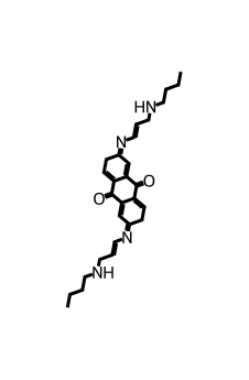 CCCCNCC=CN=C1C=C2C(=O)C3=CCC(=NC=CCNCCCC)C=C3C(=O)C2=CC1